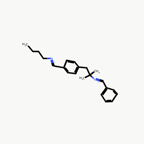 CCCC/N=C/c1ccc(CC(C)(C)/N=C/c2ccccc2)cc1